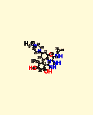 CC(C)c1cc(C(=N)N(C(=N)C(=O)NC2CC2)C2CCC(N3CCN(C)CC3)CC2)c(O)cc1O